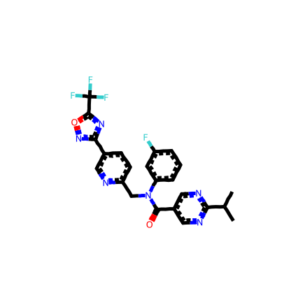 CC(C)c1ncc(C(=O)N(Cc2ccc(-c3noc(C(F)(F)F)n3)cn2)c2cccc(F)c2)cn1